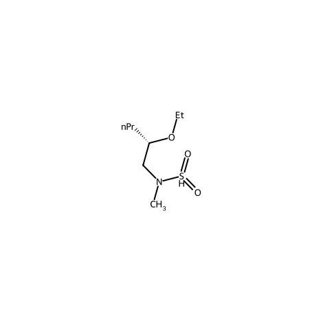 CCC[C@@H](CN(C)[SH](=O)=O)OCC